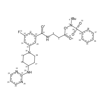 CC(C)(C)N(OC(=O)CCNC(=O)c1cc(F)cc(N2CCC(Nc3ncccn3)CC2)c1)S(=O)(=O)c1ccccc1